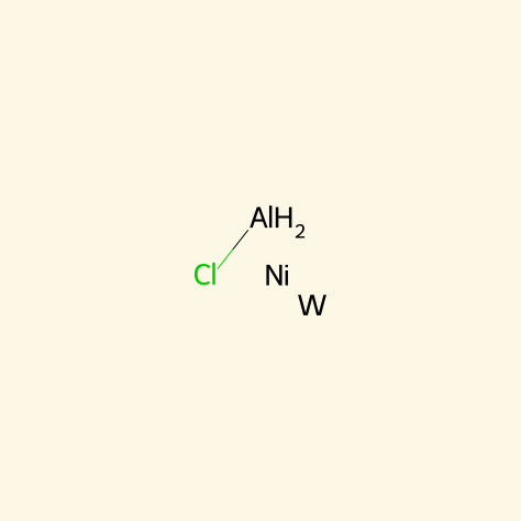 [AlH2][Cl].[Ni].[W]